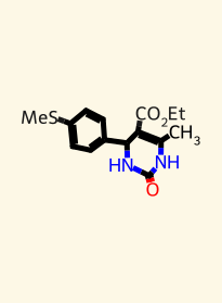 CCOC(=O)C1=C(C)NC(=O)NC1c1ccc(SC)cc1